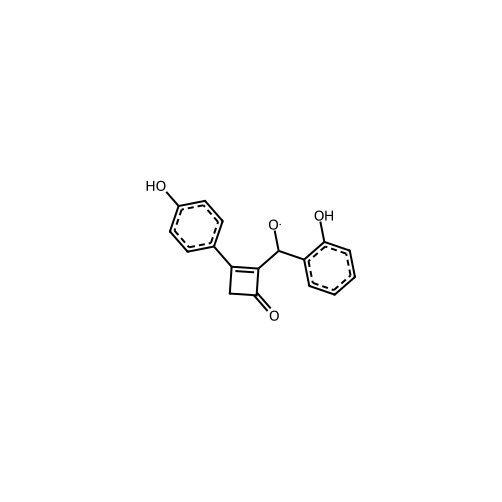 [O]C(C1=C(c2ccc(O)cc2)CC1=O)c1ccccc1O